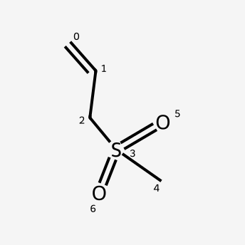 C=CCS(C)(=O)=O